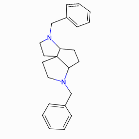 c1ccc(CN2CCC34CCN(Cc5ccccc5)C3CCC24)cc1